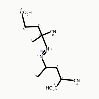 CC(CC(C#N)C(=O)O)/N=N/C(C)(C#N)CCC(=O)O